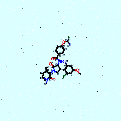 COc1cc(F)c([C@@H]2CN(c3c(C)ccn(C)c3=O)C(=O)[C@H]2NC(=O)c2ccc(OC(F)I)cc2)c(I)c1